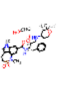 CCn1cc2c3c(cc(C(=O)N[C@@H](Cc4ccccc4)[C@H](O)CNC4CCOC(C)(C)C4)cc31)N(C)S(=O)(=O)CC2.O=CO